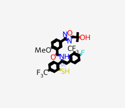 COc1ccc(-c2noc(C(C)(C)O)n2)cc1C(=O)N/C(=C\c1ccc(F)c(C(F)(F)F)c1)c1ccc(C(F)(F)F)cc1S